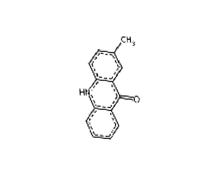 Cc1ccc2[nH]c3ccccc3c(=O)c2c1